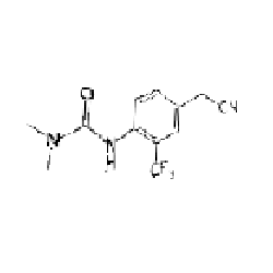 CN(C)C(=O)Nc1ccc(CC#N)cc1C(F)(F)F